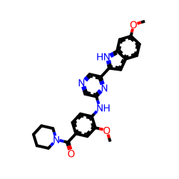 COc1ccc2cc(-c3cncc(Nc4ccc(C(=O)N5CCCCC5)cc4OC)n3)[nH]c2c1